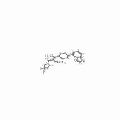 C[C@@H](C1CCC(c2cccc3ncnn23)CC1)[C@H](N)C(=O)N1CCC(F)(F)C1